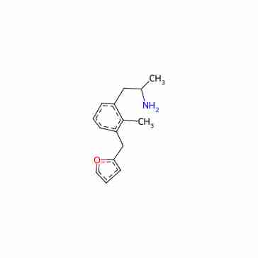 Cc1c(Cc2ccco2)cccc1CC(C)N